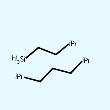 CC(C)CCCC(C)C.CC(C)CC[SiH3]